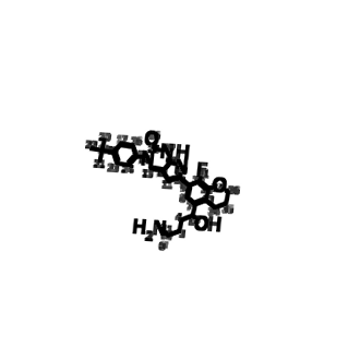 C[C@H](N)CCC(O)c1cc(-c2cc3cn(-c4ccc(C(C)(C)C)cc4)c(=O)nc3[nH]2)c(F)c2c1CCCO2